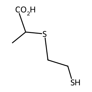 CC(SCCS)C(=O)O